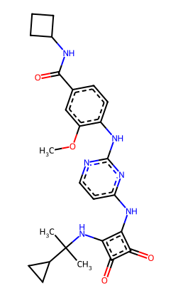 COc1cc(C(=O)NC2CCC2)ccc1Nc1nccc(Nc2c(NC(C)(C)C3CC3)c(=O)c2=O)n1